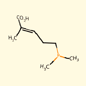 CC(=CCCP(C)C)C(=O)O